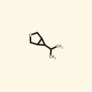 CC(C)C1C2COCC21